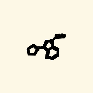 CSn1cc(N2CCCC2)c2ncccc21